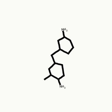 CC1CC(CC2CCCC(N)C2)CCC1N